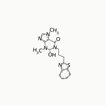 CN1c2ncn(C)c2C(=O)N(CCCc2nc3ccccc3s2)C1O